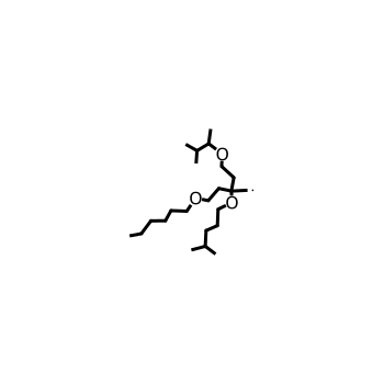 [CH2]C(CCOCCCCCC)(CCOC(C)C(C)C)OCCCC(C)C